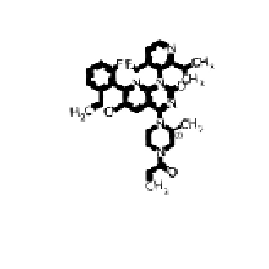 C=CC(=O)N1CCN(c2nc(=O)n(-c3c(CF)ccnc3C(C)C)c3nc(-c4c(F)cccc4C=C)c(Cl)cc23)[C@@H](C)C1